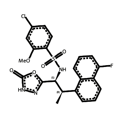 COc1cc(Cl)ccc1S(=O)(=O)N[C@H](c1n[nH]c(=O)o1)[C@H](C)c1cccc2c(F)cccc12